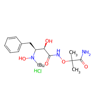 CC(C)(ONC(=O)[C@H](O)[C@H](Cc1ccccc1)N(O)C(C)(C)C)C(N)=O.Cl